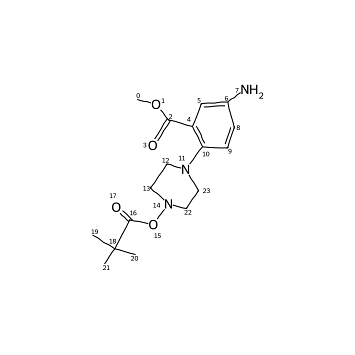 COC(=O)c1cc(N)ccc1N1CCN(OC(=O)C(C)(C)C)CC1